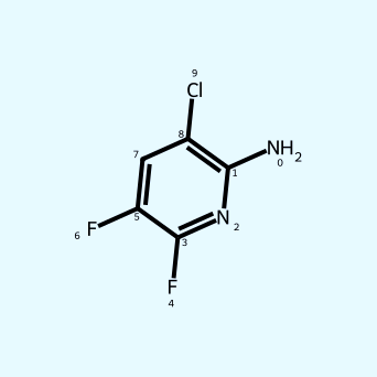 Nc1nc(F)c(F)cc1Cl